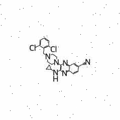 N#Cc1ccc2nc(NC3CC3)c(N3CCN(Cc4c(Cl)cccc4Cl)CC3)nc2c1